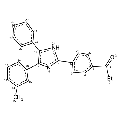 CCC(=O)c1ccc(-c2nc(-c3cccc(C)c3)c(-c3ccncc3)[nH]2)cc1